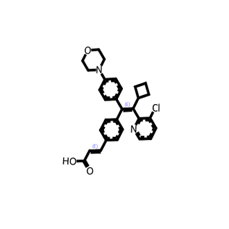 O=C(O)/C=C/c1ccc(/C(=C(\c2ncccc2Cl)C2CCC2)c2ccc(N3CCOCC3)cc2)cc1